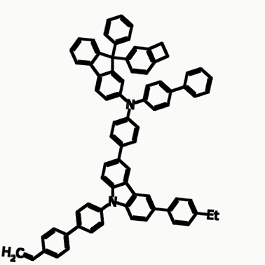 C=Cc1ccc(-c2ccc(-n3c4ccc(-c5ccc(CC)cc5)cc4c4cc(-c5ccc(N(c6ccc(-c7ccccc7)cc6)c6ccc7c(c6)C(c6ccccc6)(c6ccc8c(c6)CC8)c6ccccc6-7)cc5)ccc43)cc2)cc1